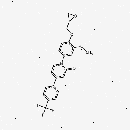 COc1cc(-n2ccc(-c3ccc(C(F)(F)F)cc3)cc2=O)ccc1OCC1CO1